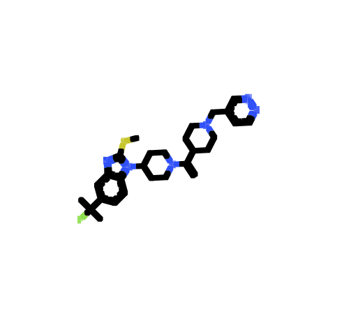 C=C(C1CCN(Cc2ccnnc2)CC1)N1CCC(n2c(SC)nc3cc(C(C)(C)F)ccc32)CC1